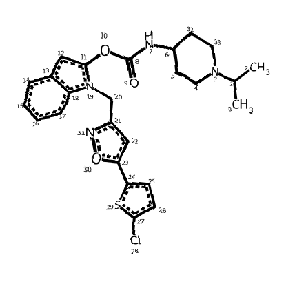 CC(C)N1CCC(NC(=O)Oc2cc3ccccc3n2Cc2cc(-c3ccc(Cl)s3)on2)CC1